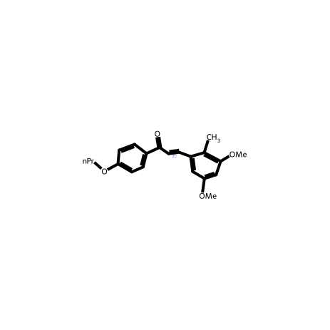 CCCOc1ccc(C(=O)/C=C/c2cc(OC)cc(OC)c2C)cc1